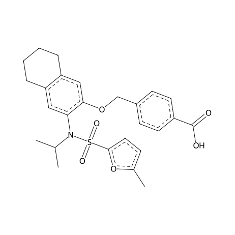 Cc1ccc(S(=O)(=O)N(c2cc3c(cc2OCc2ccc(C(=O)O)cc2)CCCC3)C(C)C)o1